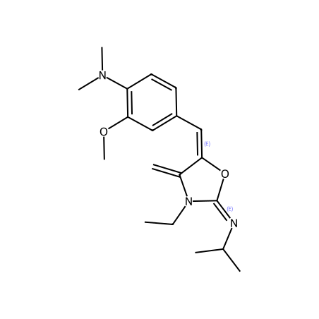 C=c1/c(=C\c2ccc(N(C)C)c(OC)c2)o/c(=N/C(C)C)n1CC